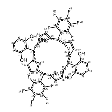 Oc1cccc(O)c1-c1c2nc(c(-c3c(F)c(F)c(F)c(F)c3F)c3ccc([nH]3)c(-c3c(O)cccc3O)c3nc(c(-c4c(F)c(F)c(F)c(F)c4F)c4ccc1[nH]4)C=C3)C=C2